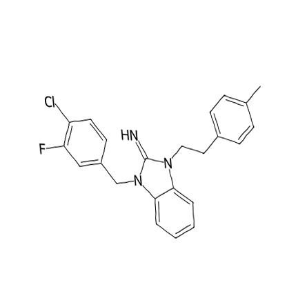 Cc1ccc(CCn2c(=N)n(Cc3ccc(Cl)c(F)c3)c3ccccc32)cc1